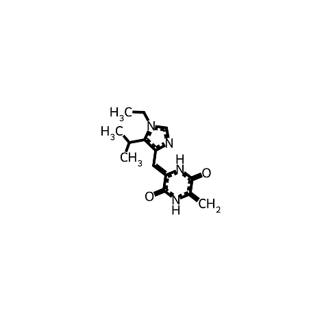 C=c1[nH]c(=O)c(=Cc2ncn(CC)c2C(C)C)[nH]c1=O